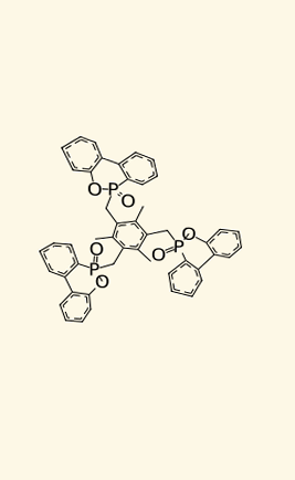 Cc1c(CP2(=O)Oc3ccccc3-c3ccccc32)c(C)c(CP2(=O)Oc3ccccc3-c3ccccc32)c(C)c1CP1(=O)Oc2ccccc2-c2ccccc21